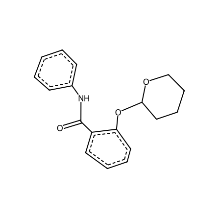 O=C(Nc1ccccc1)c1ccccc1OC1CCCCO1